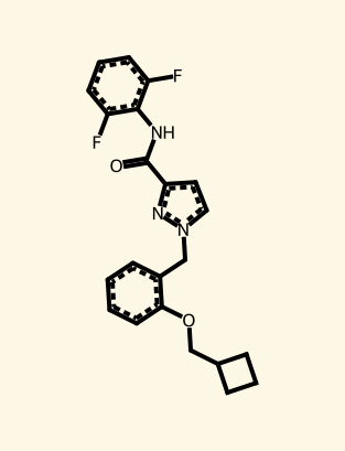 O=C(Nc1c(F)cccc1F)c1ccn(Cc2ccccc2OCC2CCC2)n1